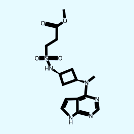 COC(=O)CCS(=O)(=O)N[C@H]1C[C@@H](N(C)c2ncnc3[nH]ccc23)C1